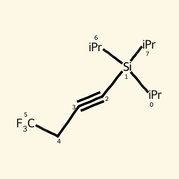 CC(C)[Si](C#CCC(F)(F)F)(C(C)C)C(C)C